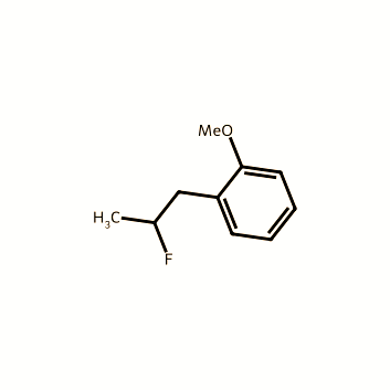 COc1ccccc1CC(C)F